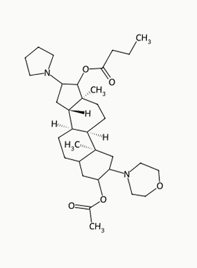 CCCC(=O)OC1C(N2CCCC2)C[C@H]2[C@@H]3CCC4CC(OC(C)=O)C(N5CCOCC5)C[C@]4(C)[C@@H]3CC[C@]12C